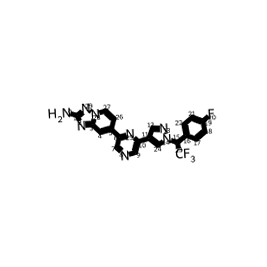 Nc1nc2cc(-c3cncc(-c4cnn(C(c5ccc(F)cc5)C(F)(F)F)c4)n3)ccn2n1